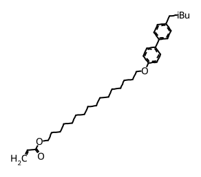 C=CC(=O)OCCCCCCCCCCCCCCCCOc1ccc(-c2ccc(CC(C)CC)cc2)cc1